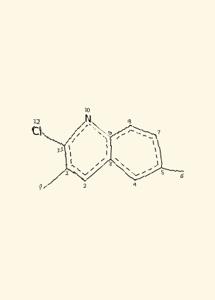 [CH2]c1cc2cc(C)ccc2nc1Cl